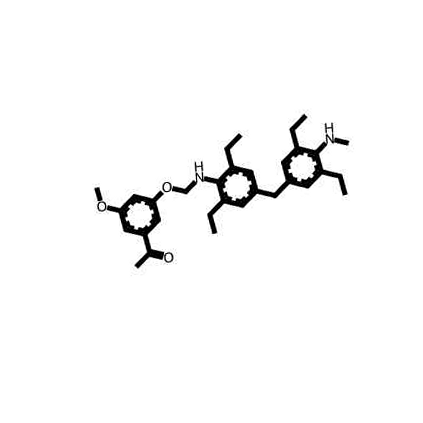 CCc1cc(Cc2cc(CC)c(NCOc3cc(OC)cc(C(C)=O)c3)c(CC)c2)cc(CC)c1NC